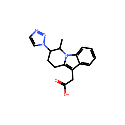 CC1C(n2ccnn2)CCc2c(CC(=O)O)c3ccccc3n21